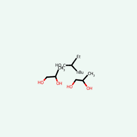 CC(O)CO.CC(O)CO.CCCCC(CC)C(=O)O